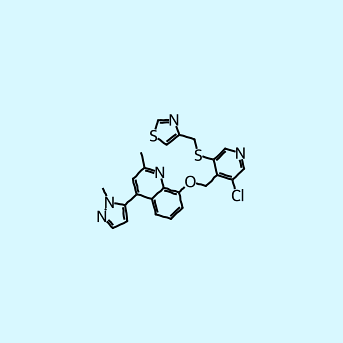 Cc1cc(-c2ccnn2C)c2cccc(OCc3c(Cl)cncc3SCc3cscn3)c2n1